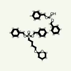 O=P(CCCCOC1CCCCO1)(OCc1ccccc1)OCc1ccccc1.OP(OCc1ccccc1)OCc1ccccc1